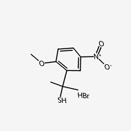 Br.COc1ccc([N+](=O)[O-])cc1C(C)(C)S